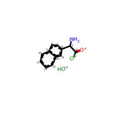 Cl.NC(C(=O)Cl)c1ccc2ccccc2c1